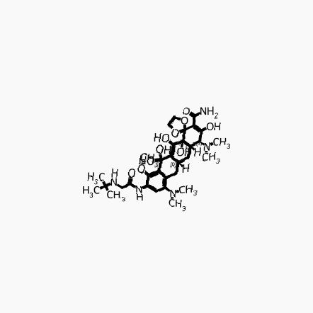 COc1c(NC(=O)CNC(C)(C)C)cc(N(C)C)c2c1C(O)(O)C1=C(O)[C@@]3(O)[C@@H](C[C@@H]1C2)[C@H](N(C)C)C(O)=C(C(N)=O)C31OCCO1